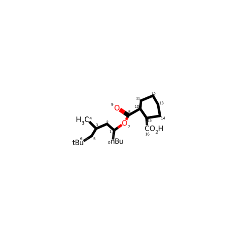 CCCCC(CC(C)CC(C)(C)C)OC(=O)C1CCCCC1C(=O)O